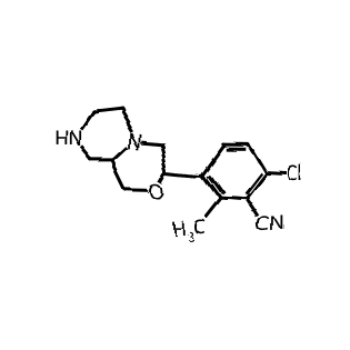 Cc1c(C2CN3CCNCC3CO2)ccc(Cl)c1C#N